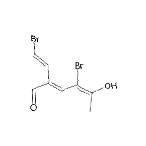 C\C(O)=C(Br)/C=C(C=O)\C=C\Br